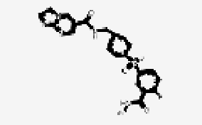 CC(C)NC(=O)c1cc(S(=O)(=O)c2ccc(CNC(=O)c3cnc4nccn4c3)cc2)ccc1F